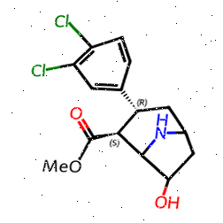 COC(=O)[C@@H]1C2NC(CC2O)C[C@H]1c1ccc(Cl)c(Cl)c1